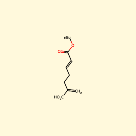 C=C(CCC=CC(=O)OCCCC)C(=O)O